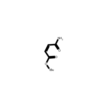 CC(C)(C)OC(=O)/C=C\C(N)=O